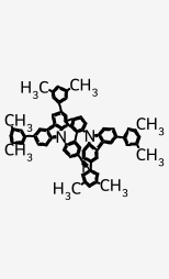 Cc1cc(C)cc(-c2ccc3c(c2)c2cc(-c4cc(C)cc(C)c4)ccc2n3-c2ccc(C#N)cc2-c2c(-n3c4ccc(-c5cc(C)cc(C)c5)cc4c4cc(-c5cc(C)cc(C)c5)ccc43)ccc3c2C3)c1